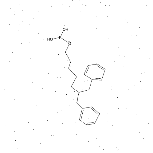 OP(O)OCCCCCC(Cc1ccccc1)Cc1ccccc1